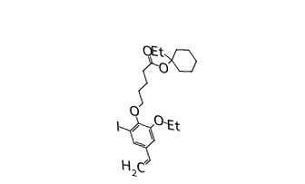 C=Cc1cc(I)c(OCCCCC(=O)OC2(CC)CCCCC2)c(OCC)c1